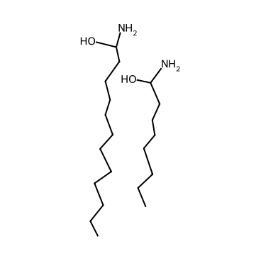 CCCCCCCC(N)O.CCCCCCCCCCCC(N)O